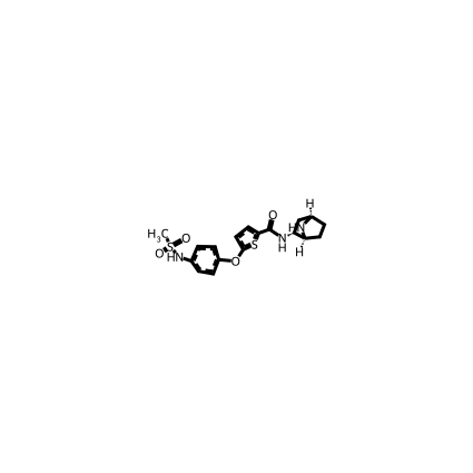 CS(=O)(=O)Nc1ccc(Oc2ccc(C(=O)N[C@@H]3C[C@H]4CC[C@@H]3N4)s2)cc1